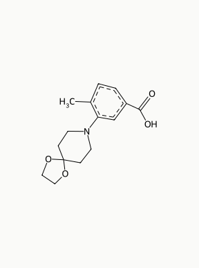 Cc1ccc(C(=O)O)cc1N1CCC2(CC1)OCCO2